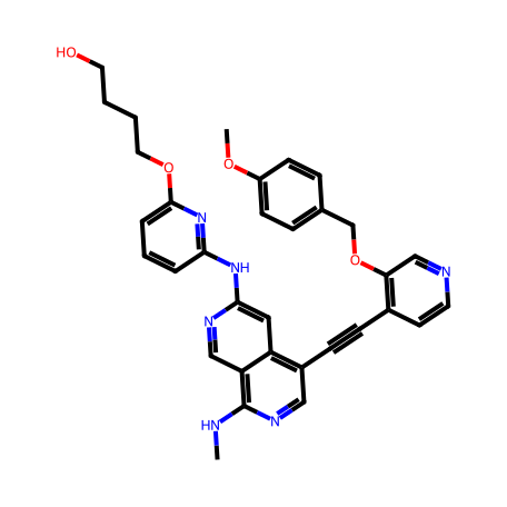 CNc1ncc(C#Cc2ccncc2OCc2ccc(OC)cc2)c2cc(Nc3cccc(OCCCCO)n3)ncc12